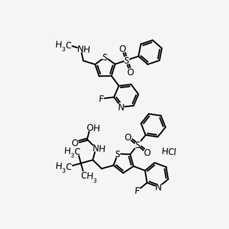 CC(C)(C)C(Cc1cc(-c2cccnc2F)c(S(=O)(=O)c2ccccc2)s1)NC(=O)O.CNCc1cc(-c2cccnc2F)c(S(=O)(=O)c2ccccc2)s1.Cl